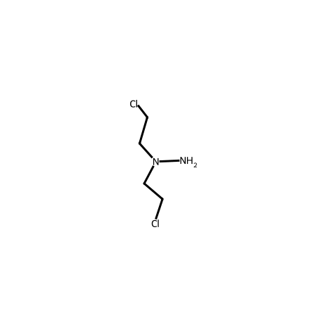 NN(CCCl)CCCl